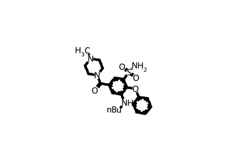 CCCCNc1cc(C(=O)N2CCN(C)CC2)cc(S(N)(=O)=O)c1Oc1ccccc1